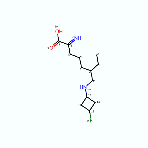 CCC(CCCC(=N)C(=O)O)CNC1CC(F)C1